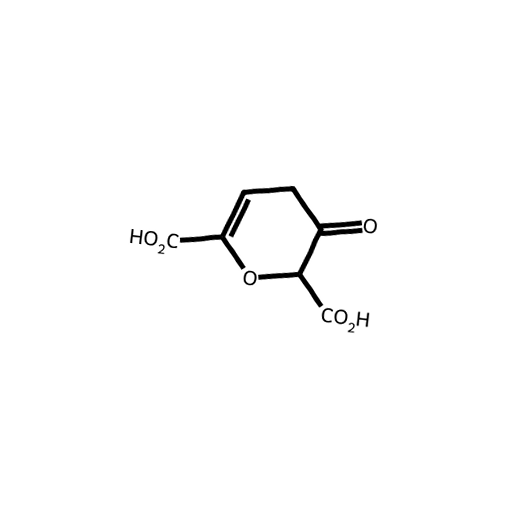 O=C(O)C1=CCC(=O)C(C(=O)O)O1